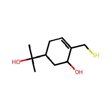 CC(C)(O)C1CC=C(CS)C(O)C1